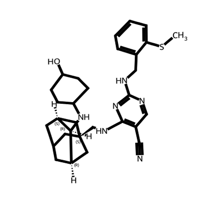 CSc1ccccc1CNc1ncc(C#N)c(NC[C@]23CC4C[C@H](C2)[C@H](NC2CCC(O)CC2)[C@@H](C4)C3)n1